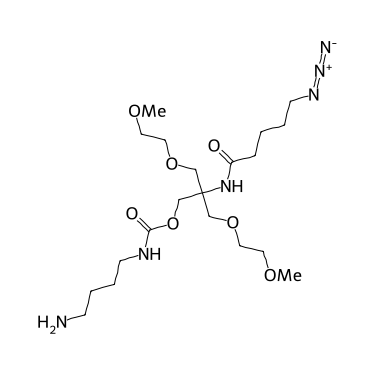 COCCOCC(COCCOC)(COC(=O)NCCCCN)NC(=O)CCCCN=[N+]=[N-]